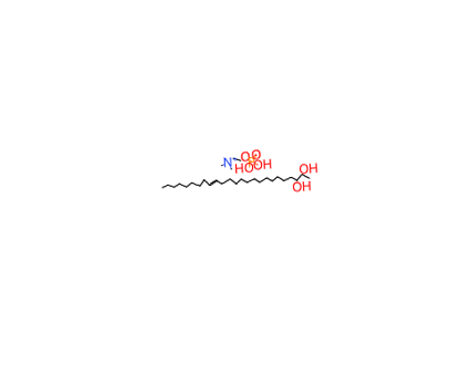 CCCCCCCCC=CCCCCCCCCCCCCC(O)C(C)O.C[N+](C)(C)CCOP(=O)(O)O